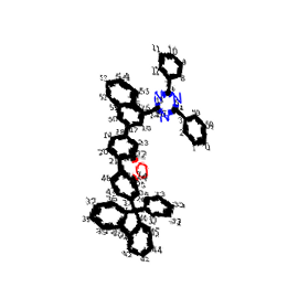 c1ccc(-c2nc(-c3ccccc3)nc(-c3cc(-c4ccc5c(c4)oc4cc(C6(c7ccccc7)c7ccccc7-c7ccccc76)ccc45)cc4ccccc34)n2)cc1